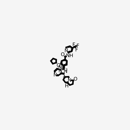 N[N+]12C=CN=CC1=C([C@@H]1CC[C@H]3CCC(=O)N3C1)N=C2c1ccc(C(=O)Nc2cc(C(F)(F)F)ccn2)cc1OC1CCCC1